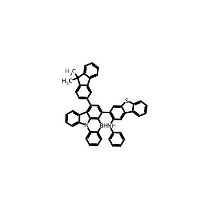 CC1(C)c2ccccc2-c2cc(-c3cc(-c4cc5sc6ccccc6c5cc4Nc4ccccc4)c4c5c3c3ccccc3n5-c3ccccc3B4)ccc21